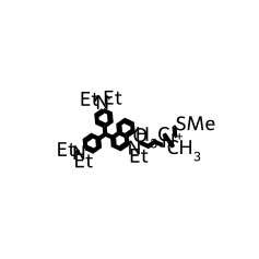 CCN(CC)c1ccc(C(c2ccc(N(CC)CC)cc2)c2ccc(N(CC)C(=O)CCC[N+](C)(C)CCSC)c3ccccc23)cc1